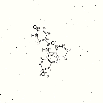 O=C(N[C@@H](c1ccc(C(F)(F)F)cc1)c1ncccc1Cl)c1ccc(=O)[nH]c1